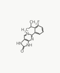 CC(C)c1c(F)cccc1-c1ncc2[nH]c(=O)[nH]c2n1